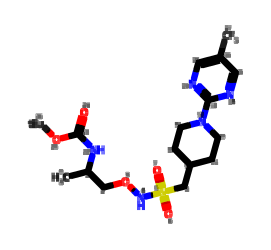 CC(CONS(=O)(=O)CC1CCN(c2ncc(C(F)(F)F)cn2)CC1)NC(=O)OC(C)(C)C